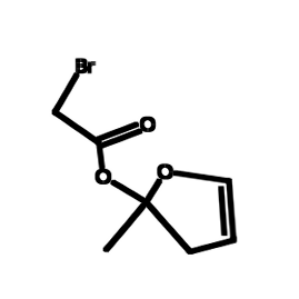 CC1(OC(=O)CBr)CC=CO1